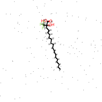 CCCCCCCCCCCCCCCC=CCC(O)(C(=O)O)C(F)(F)F